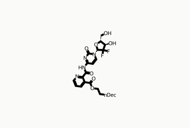 CCCCCCCCCCCCOC(=O)c1cccnc1C(=O)Nc1ccn([C@@H]2O[C@H](CO)[C@@H](O)C2(F)F)c(=O)n1